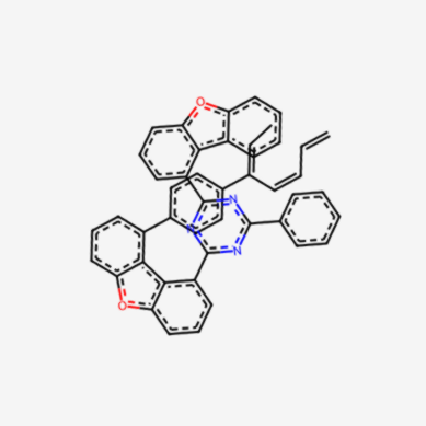 C=C/C=C\C(=C/C)c1ccc(-c2cccc3oc4cccc(-c5nc(-c6ccccc6)nc(-c6cccc7oc8ccccc8c67)n5)c4c23)cc1